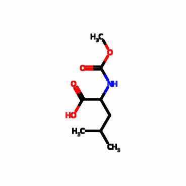 COC(=O)NC(CC(C)C)C(=O)O